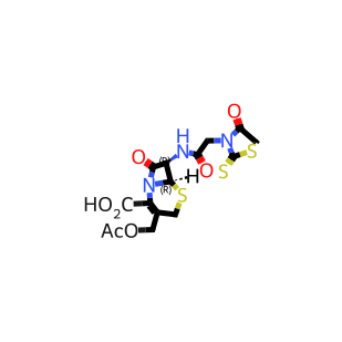 CC(=O)OCC1=C(C(=O)O)N2C(=O)[C@@H](NC(=O)CN3C(=O)CSC3=S)[C@H]2SC1